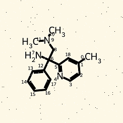 Cc1ccnc(C(N)(CN(C)C)c2ccccc2)c1